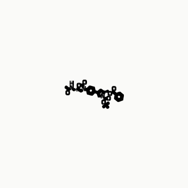 CC(=O)NC[C@H]1CN(c2ccc(C3=C[C@@H](COC(=O)c4ccccc4)N(C(=O)OC(C)(C)C)C3)cc2)C(=O)O1